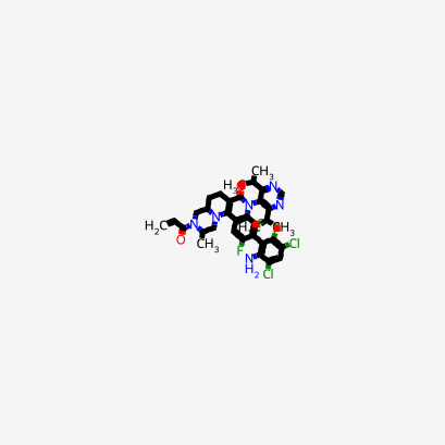 C=CC(=O)N1CC2CCc3c(c4cc(F)c(-c5c(N)c(Cl)cc(Cl)c5F)c(F)c4n(-c4c(C(C)C)ncnc4C(C)C)c3=O)N2CC1C